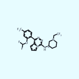 FC(F)Oc1cc(C(F)(F)F)ccc1-c1nnc(N[C@@H]2CCCN(CC(F)(F)F)C2)n2cccc12